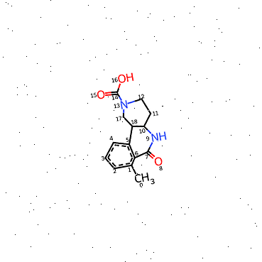 Cc1cccc2c1C(=O)NC1CCN(C(=O)O)CC21